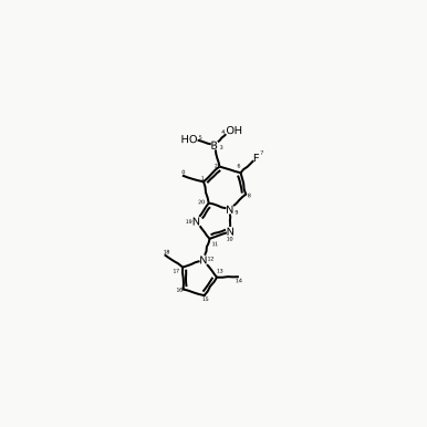 Cc1c(B(O)O)c(F)cn2nc(-n3c(C)ccc3C)nc12